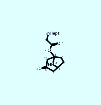 CCCCCCCCC(=O)OC12CCC(CC(=O)C1)N2